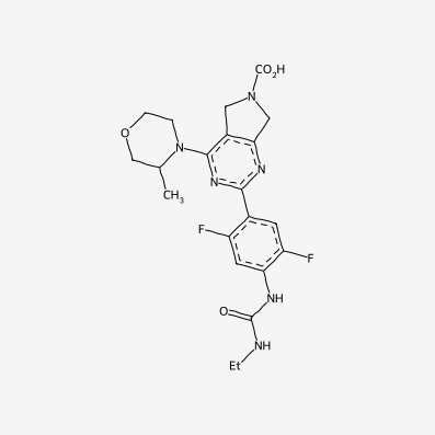 CCNC(=O)Nc1cc(F)c(-c2nc3c(c(N4CCOCC4C)n2)CN(C(=O)O)C3)cc1F